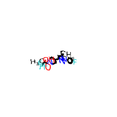 Cc1cc(C2CCN(C(=O)[C@@](C)(O)C(F)(F)F)CC2)nn1-c1ccc(F)cc1